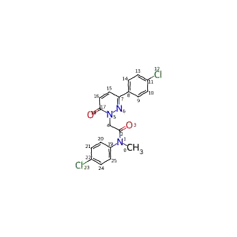 CN(C(=O)Cn1nc(-c2ccc(Cl)cc2)ccc1=O)c1ccc(Cl)cc1